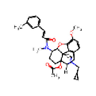 COc1ccc2c3c1OC1C(N(C)C(=O)/C=C/c4cccc(C)c4)CC[C@@]4(OC(C)=O)[C@@H](C2)N(CC2CC2)CC[C@]314